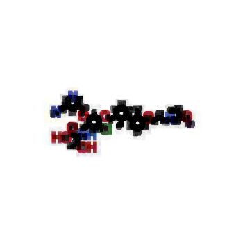 Cc1c(COc2cc(OCc3cncc(C#N)c3)c(CN[C@H](C(=O)O)[C@@H](C)O)cc2Cl)cccc1-c1cccc(OCCCN2CC[C@@H](OI)C2)c1C